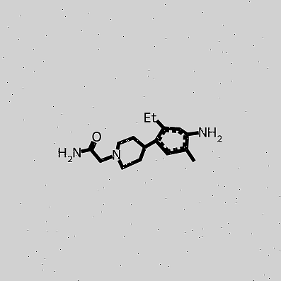 CCc1cc(N)c(C)cc1C1CCN(CC(N)=O)CC1